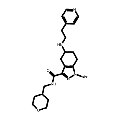 CCCn1nc(C(=O)NCC2CCOCC2)c2c1CCC(NCCc1ccncc1)C2